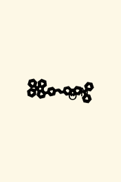 C1=C(/C=C/c2ccc(-c3cccc4c3-c3ccccc3C4(c3ccccc3)c3ccccc3)cc2)CCc2c1oc1cc(N(c3ccccc3)c3ccccc3)ccc21